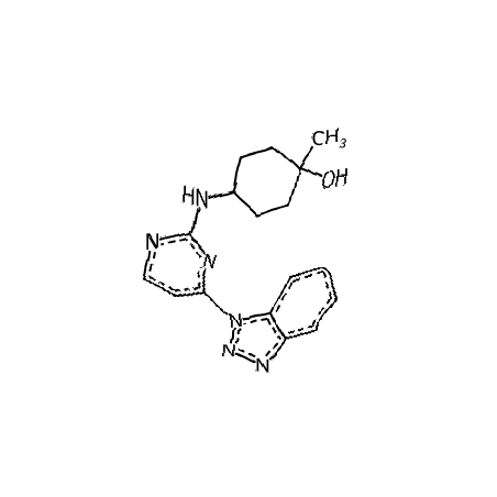 CC1(O)CCC(Nc2nccc(-n3nnc4ccccc43)n2)CC1